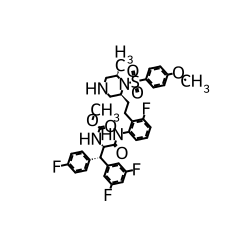 COC(=O)N[C@H](C(=O)Nc1cccc(F)c1CC[C@H]1CNC[C@H](C)N1S(=O)(=O)c1ccc(OC)cc1)[C@@H](c1ccc(F)cc1)c1cc(F)cc(F)c1